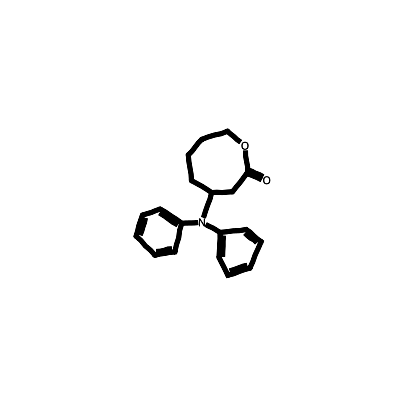 O=C1CC(N(c2ccccc2)c2ccccc2)CCCCO1